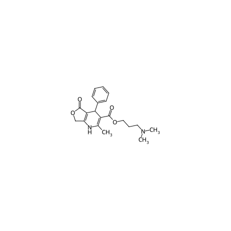 CC1=C(C(=O)OCCCN(C)C)C(c2ccccc2)C2=C(COC2=O)N1